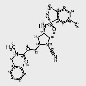 CN(Cc1ccccc1)C(=O)OC[C@H]1C[C@@H](NS(=O)(=O)c2cc(Br)ccc2Br)CN1C#N